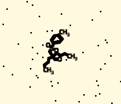 CCCCC(C=O)(CCCC)CS(=O)(=O)c1ccc(C)cc1